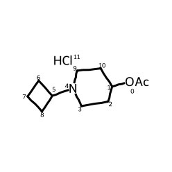 CC(=O)OC1CCN(C2CCC2)CC1.Cl